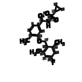 Cc1ccc(C(=O)NS(=O)(=O)C2CC2)cc1OCc1c(C)cc(F)cc1C